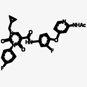 CC(=O)Nc1cc(Oc2ccc(NC(=O)c3cn(CC4CC4)c(=O)n(-c4ccc(F)cc4)c3=O)cc2F)ccn1